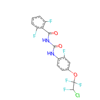 O=C(NC(=O)c1c(F)cccc1F)Nc1ccc(OC(F)(F)C(F)Cl)cc1F